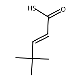 CC(C)(C)C=CC(=O)S